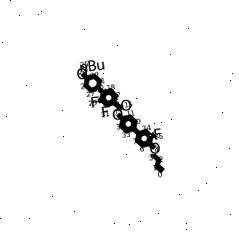 C=CCCOc1ccc(-c2ccc(OC(=O)c3ccc(C4CCC(OCCCC)CC4)c(F)c3F)cc2)cc1F